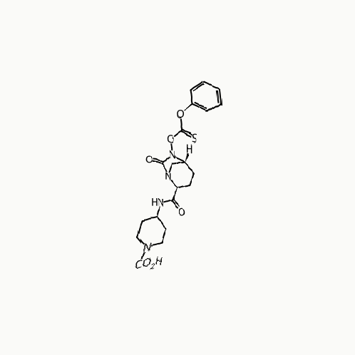 O=C(NC1CCN(C(=O)O)CC1)[C@@H]1CC[C@@H]2CN1C(=O)N2OC(=S)Oc1ccccc1